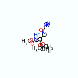 COC(=O)c1cc2c(B3OC(C)(C)C(C)(C)O3)cc(C3=CCCN(C(=O)CCn4ccnn4)C3)c(F)c2[nH]1